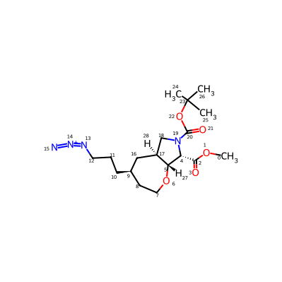 COC(=O)[C@@H]1[C@@H]2OCC[C@@H](CCCN=[N+]=[N-])C[C@H]2CN1C(=O)OC(C)(C)C